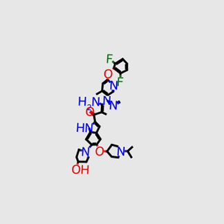 C=NN(/C(N)=C(\C)C(=O)c1cc2cc(OC3CCN(C(C)C)CC3)c(N3CCC(O)CC3)cc2[nH]1)c1cnc(Oc2c(F)cccc2F)cc1C